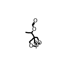 CC(OC=O)C12COP(OC1)OC2